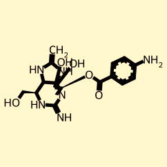 C=C1NC2[C@H](CO)NC(=N)N3C[C@H](OC(=O)c4ccc(N)cc4)C(O)(O)[C@]23N1